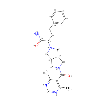 Cc1ncnc(C)c1C(=O)N1CC2CN(C(C[CH]c3ccccc3)C(N)=O)CC2C1